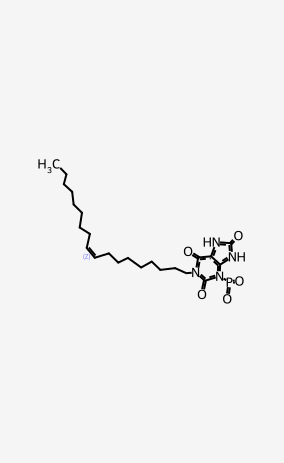 CCCCCCCC/C=C\CCCCCCCCn1c(=O)c2[nH]c(=O)[nH]c2n(P(=O)=O)c1=O